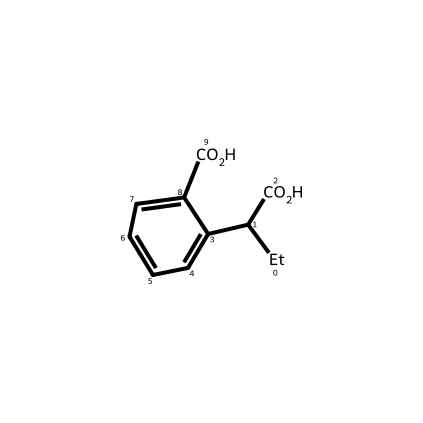 CCC(C(=O)O)c1ccccc1C(=O)O